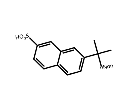 CCCCCCCCCC(C)(C)c1ccc2ccc(S(=O)(=O)O)cc2c1